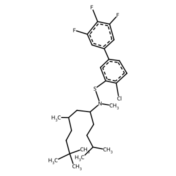 CC(C)CCC(CC(C)CCC(C)(C)C)N(C)Sc1cc(-c2cc(F)c(F)c(F)c2)ccc1Cl